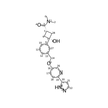 CN(C)C(=O)[C@H]1C[C@](O)(c2cccc(COc3ccc(-c4ccn[nH]4)nc3)c2)C1